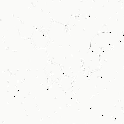 C=CC(=O)Nc1cc(-c2cnc3[nH]cc(-c4ccc(=O)n(CC5CC5)c4)c3c2)cc(OC)n1